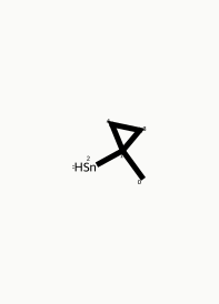 C[C]1([SnH])CC1